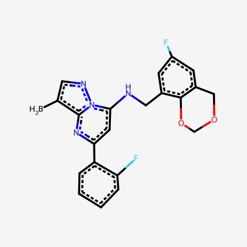 Bc1cnn2c(NCc3cc(F)cc4c3OCOC4)cc(-c3ccccc3F)nc12